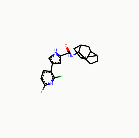 O=C(NC1C2CC3CC4CC1C3C4C2)c1cc(-c2ccc(F)nc2F)c[nH]1